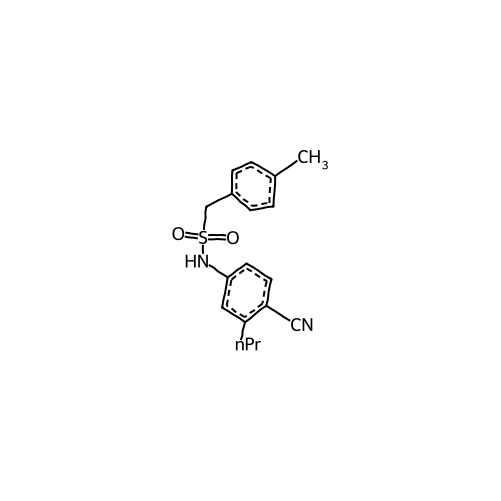 CCCc1cc(NS(=O)(=O)Cc2ccc(C)cc2)ccc1C#N